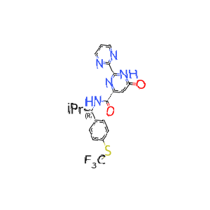 CC(C)[C@@H](NC(=O)c1cc(=O)[nH]c(-c2ncccn2)n1)c1ccc(SC(F)(F)F)cc1